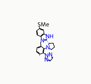 CSc1ccc2nc([C@@H]3CCCN3c3c(-n4nccn4)[c]ccc3C)[nH]c2c1